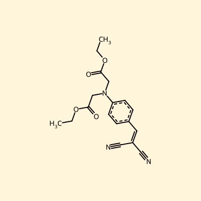 CCOC(=O)CN(CC(=O)OCC)c1ccc(C=C(C#N)C#N)cc1